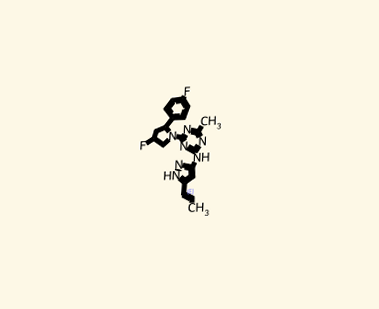 C/C=C/c1cc(Nc2nc(C)nc(N3CC(F)CC3c3ccc(F)cc3)n2)n[nH]1